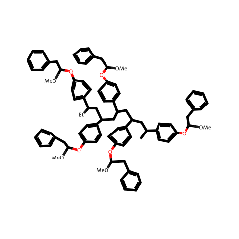 CCC(CC(CC(CC(CC(C)c1ccc(OC(Cc2ccccc2)OC)cc1)c1ccc(OC(Cc2ccccc2)OC)cc1)c1ccc(OC(Cc2ccccc2)OC)cc1)c1ccc(OC(Cc2ccccc2)OC)cc1)c1ccc(OC(Cc2ccccc2)OC)cc1